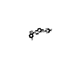 Fc1cnc(NCC2CCC3CN(c4noc5ccc(F)cc45)CCN3C2)nc1